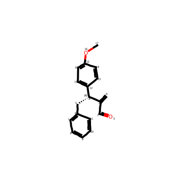 C=C(C=O)[C@H](Cc1ccccc1)c1ccc(OC)cc1